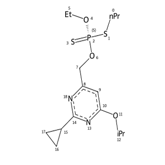 CCCS[P@@](=S)(OCC)OCc1cc(OC(C)C)nc(C2CC2)n1